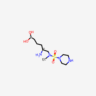 CCN(C[C@@H](N)CCCB(O)O)S(=O)(=O)N1CCNCC1